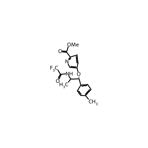 COC(=O)c1ccc(O[C@H](c2ccc(C)cc2)C(C)NC(=O)C(F)(F)F)cn1